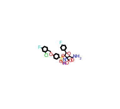 NC(=O)C1OC(c2ccc(F)cc2)CC1(NS(=O)(=O)c1ccc(OCc2ccc(F)cc2Cl)cc1)C(=O)O